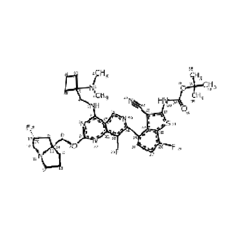 CN(C)C1(CNc2nc(OC[C@@]34CCCN3C[C@H](F)C4)nc3c(F)c(-c4ccc(F)c5sc(NC(=O)OC(C)(C)C)c(C#N)c45)ncc23)CCC1